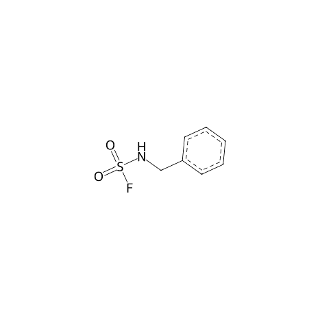 O=S(=O)(F)NCc1ccccc1